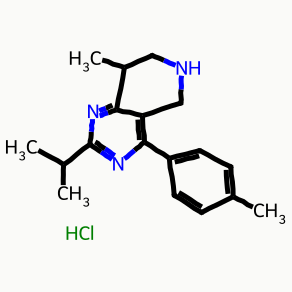 Cc1ccc(-c2nc(C(C)C)nc3c2CNCC3C)cc1.Cl